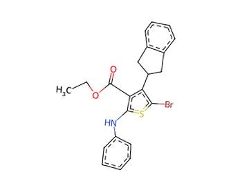 CCOC(=O)c1c(Nc2ccccc2)sc(Br)c1C1Cc2ccccc2C1